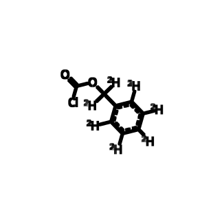 [2H]c1c([2H])c([2H])c(C([2H])([2H])OC(=O)Cl)c([2H])c1[2H]